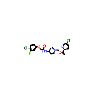 C=C(OCN1CCC(NC(=O)COc2ccc(Cl)c(F)c2)CC1)C1CC=C(Cl)C=N1